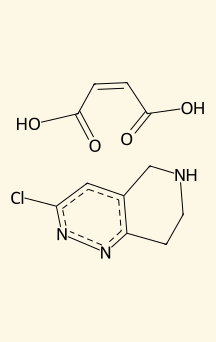 Clc1cc2c(nn1)CCNC2.O=C(O)/C=C\C(=O)O